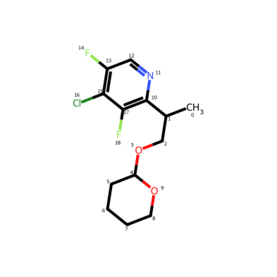 CC(COC1CCCCO1)c1ncc(F)c(Cl)c1F